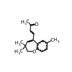 CC(=O)C=CC1=CC(C)(C)COc2ccc(C)cc21